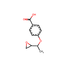 CC(Oc1ccc(C(=O)O)cc1)C1CO1